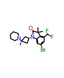 CC1(C)C(=O)N([C@H]2C[C@@](C)(N3CCCCC3)C2)c2cc(Br)cc(C(F)F)c21